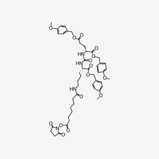 COc1ccc(COC(=O)CC[C@H](NC(=O)N[C@@H](CCCCNC(=O)CCCCCCC(=O)ON2C(=O)CCC2=O)C(=O)OCc2ccc(OC)cc2)C(=O)OCc2ccc(OC)cc2)cc1